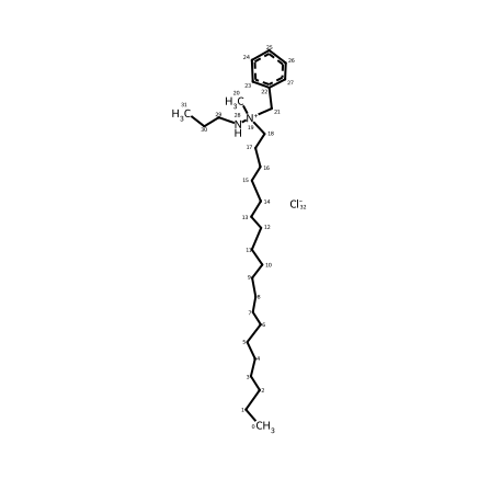 CCCCCCCCCCCCCCCCCCC[N+](C)(Cc1ccccc1)NCCC.[Cl-]